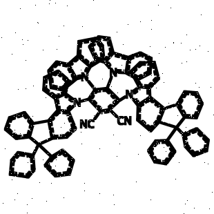 N#Cc1c(C#N)c(-n2c3ccccc3c3c4c(ccc32)C(c2ccccc2)(c2ccccc2)c2ccccc2-4)c(-n2c3ccccc3c3ccccc32)c(-n2c3ccccc3c3ccccc32)c1-n1c2ccccc2c2c3c(ccc21)C(c1ccccc1)(c1ccccc1)c1ccccc1-3